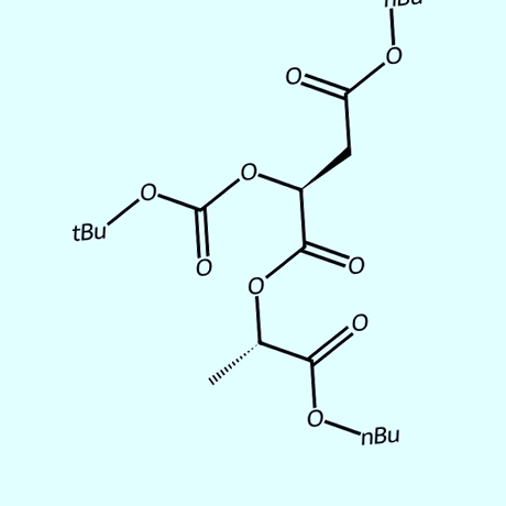 CCCCOC(=O)C[C@H](OC(=O)OC(C)(C)C)C(=O)O[C@@H](C)C(=O)OCCCC